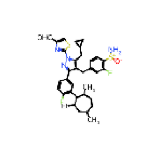 CCC1CC(C)CCC(C)C1c1cc(-c2nn(-c3nc(C=O)cs3)c(CC3CC3)c2Cc2ccc([S+](N)[O-])c(F)c2)ccc1F